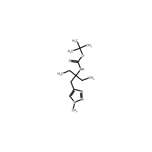 CCC(CC)(Cc1cn(C)nn1)NC(=O)OC(C)(C)C